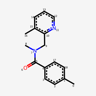 Cc1ccc(C(=O)N(C)Cc2ncccc2C)cc1